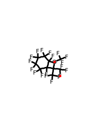 FC(F)(F)OC(C(F)(F)F)(C(F)(F)F)C1(F)C(F)(F)C(F)(F)C(F)(F)C(F)(F)C1(F)F